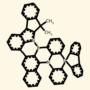 CC1(C)c2ccccc2-c2c1n1c3c(cccc23)-c2cc3ccccc3c3c2B1c1cccc2c1N3c1ccccc1[Si]21c2ccccc2-c2ccccc21